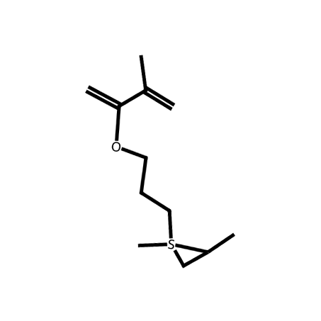 C=C(C)C(=C)OCCCS1(C)CC1C